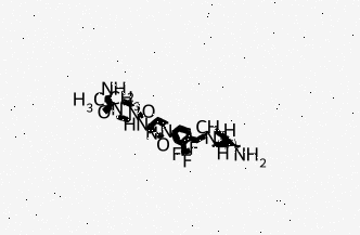 CC(Cc1ccc(-n2ccc(NC(=O)N3CCN(C(=O)C(C)(C)N)CC3)nc2=O)cc1C(F)(F)F)N1C[C@@H]2[C@@H](CN)[C@@H]2C1